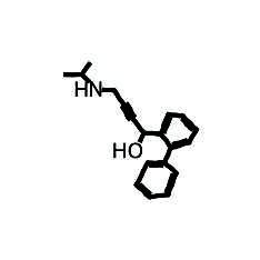 CC(C)NCC#CC(O)c1ccccc1-c1ccccc1